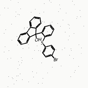 OC1(c2ccccc2Sc2ccc(Br)cc2)c2ccccc2-c2ccccc21